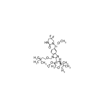 COC[C@H](c1ccc2c(c1)nc([C@@H](N[S@+]([O-])C(C)(C)C)[C@@H](C)OC1CC1)n2COCC[Si](C)(C)C)N1CC(F)(F)CNC1=O